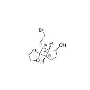 OC1CC[C@H]2[C@@H]1[C@@H](CCBr)C21OCCO1